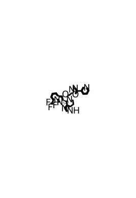 O=C(c1nnc(-c2cccnc2)o1)N1CCc2[nH]cnc2[C@H]1c1cc2cccc(C(F)(F)F)n2n1